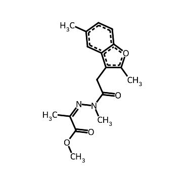 COC(=O)C(C)=NN(C)C(=O)Cc1c(C)oc2ccc(C)cc12